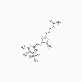 C=C1C[C@H](CCCOC(=O)C(C)(C)C)OC1CC[C@@H](O)C[C@@H](C)C(=C)OS(=O)(=O)C(F)(F)F